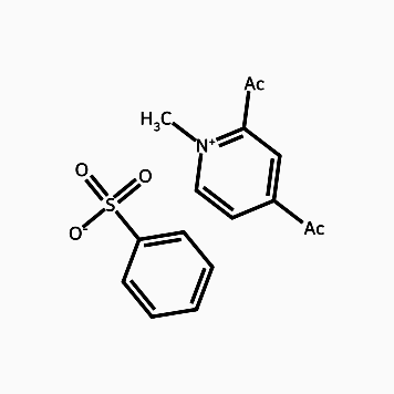 CC(=O)c1cc[n+](C)c(C(C)=O)c1.O=S(=O)([O-])c1ccccc1